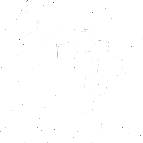 CC(=O)OCc1nc2cnc3c(ccn3S(=O)(=O)c3ccccc3)c2n1C1CCN(C(=O)OC(C)(C)C)CC1